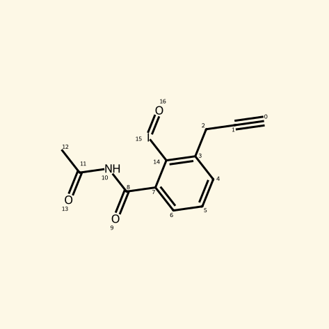 C#CCc1cccc(C(=O)NC(C)=O)c1I=O